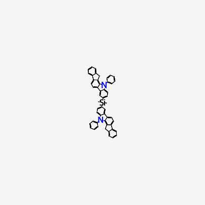 C[Si](C)(c1ccc2c(c1)c1ccc3c(c1n2-c1ccccc1)Cc1ccccc1-3)c1ccc2c(c1)c1ccc3c(c1n2-c1ccccc1)Cc1ccccc1-3